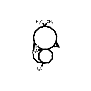 CC1(C)CCCC2=CC2C2CCCC3(C)CCCC(CCC1)NC2(C)CC3